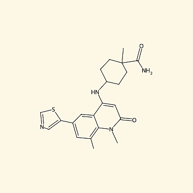 Cc1cc(-c2cncs2)cc2c(NC3CCC(C)(C(N)=O)CC3)cc(=O)n(C)c12